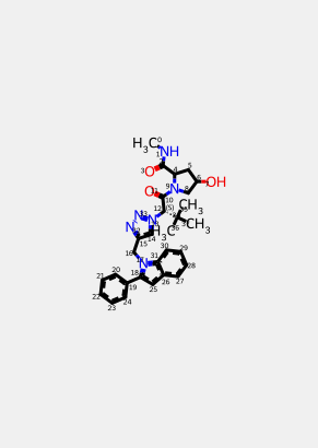 CNC(=O)C1CC(O)CN1C(=O)[C@@H](n1cc(Cn2c(-c3ccccc3)cc3ccccc32)nn1)C(C)(C)C